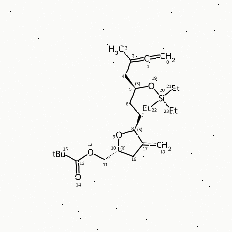 C=C=C(C)C[C@H](CC[C@@H]1O[C@@H](COC(=O)C(C)(C)C)CC1=C)O[Si](CC)(CC)CC